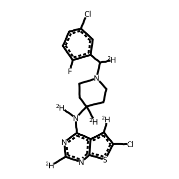 [2H]c1nc(N([2H])C2([2H])CCN(C([2H])c3cc(Cl)ccc3F)CC2)c2c([2H])c(Cl)sc2n1